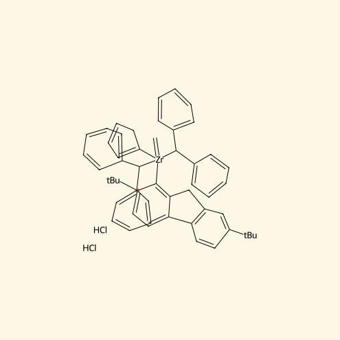 Cl.Cl.[CH2]=[Zr]([C]1=CC=CC1)([c]1c(C(C)(C)C)ccc2c1Cc1cc(C(C)(C)C)ccc1-2)([CH](c1ccccc1)c1ccccc1)[CH](c1ccccc1)c1ccccc1